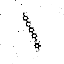 C=CC1CCC(C2CCC(C3CCC(C4CCC(COc5ccc(OCC)c(F)c5F)CC4)CC3)OC2)CC1